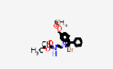 C=C(C)OC(=O)NCCn1c(Br)c(C2CCCCC2)c2ccc(COOC)cc21